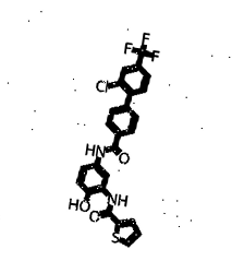 O=C(Nc1ccc(O)c(NC(=O)c2cccs2)c1)c1ccc(-c2ccc(C(F)(F)F)cc2Cl)cc1